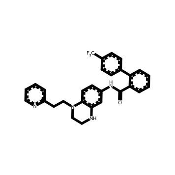 O=C(Nc1ccc2c(c1)NCCN2CCc1ccccn1)c1ccccc1-c1ccc(C(F)(F)F)cc1